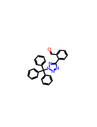 O=Cc1ccccc1-c1nnn(C(c2ccccc2)(c2ccccc2)c2ccccc2)n1